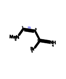 CN/C=C\C(=N)Br